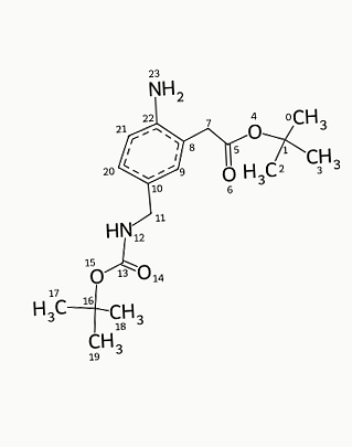 CC(C)(C)OC(=O)Cc1cc(CNC(=O)OC(C)(C)C)ccc1N